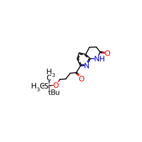 CC(C)(C)[Si](C)(C)OCCCC(=O)c1ccc2c(n1)NC(=O)CC2